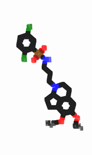 COc1cc2c3c(c1OC)CCC3N(CCCNS(=O)(=O)c1cc(Cl)ccc1Cl)CC2